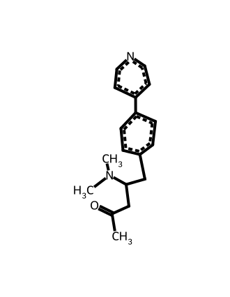 CC(=O)CC(Cc1ccc(-c2ccncc2)cc1)N(C)C